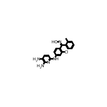 Cc1ccccc1C(=NO)c1ccc(Nc2ccc(N)c(N)n2)cc1Cl